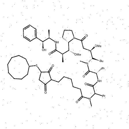 CC[C@H](C)[C@@H]([C@@H](CC(=O)N1CCC[C@H]1[C@H](OC)[C@@H](C)C(=O)N[C@H](C)[C@@H](O)c1ccccc1)OC)N(C)C(=O)[C@@H](NC(=O)C(C(C)C)N(C)C(=O)CCCCCC1C(=O)CC(SC2CCCCCCCC2)C1=O)C(C)C